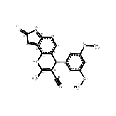 COc1cc(OC)cc(C2C(C#N)=C(N)Oc3c2ccc2c3=CC(=O)N=2)c1